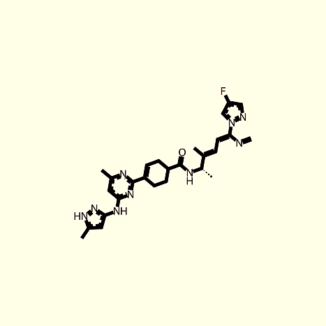 C=N/C(=C\C=C(/C)[C@H](C)NC(=O)C1CC=C(c2nc(C)cc(Nc3cc(C)[nH]n3)n2)CC1)n1cc(F)cn1